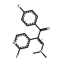 CN(C)/C=C(/C(=O)c1ccc(F)cc1)c1ccnc(F)c1